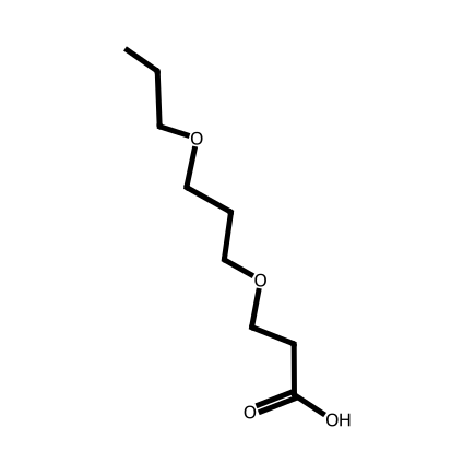 CCCOCCCOCCC(=O)O